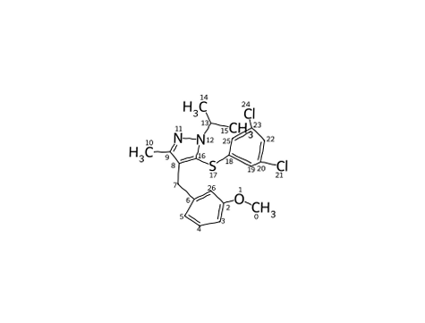 COc1cccc(Cc2c(C)nn(C(C)C)c2Sc2cc(Cl)cc(Cl)c2)c1